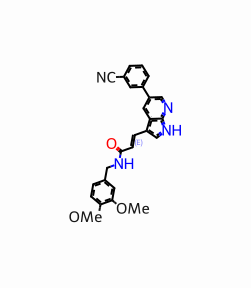 COc1ccc(CNC(=O)/C=C/c2c[nH]c3ncc(-c4cccc(C#N)c4)cc23)cc1OC